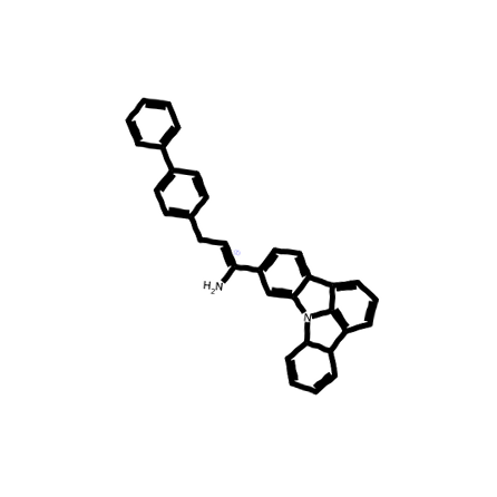 N/C(=C\Cc1ccc(-c2ccccc2)cc1)c1ccc2c3cccc4c3n(c2c1)C1C=CC=CC41